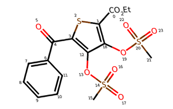 CCOC(=O)c1sc(C(=O)c2ccccc2)c(OS(C)(=O)=O)c1OS(C)(=O)=O